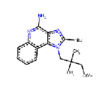 CCCCc1nc2c(N)nc3ccccc3c2n1CC(C)(C)COC